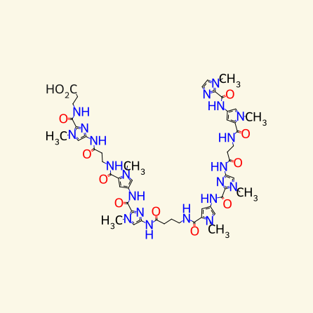 Cn1cc(NC(=O)c2nc(NC(=O)CCNC(=O)c3cc(NC(=O)c4nccn4C)cn3C)cn2C)cc1C(=O)NCCCC(=O)Nc1cn(C)c(C(=O)Nc2cc(C(=O)NCCC(=O)Nc3cn(C)c(C(=O)NCCC(=O)O)n3)n(C)c2)n1